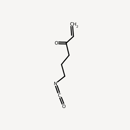 C=CC(=O)CCCN=C=O